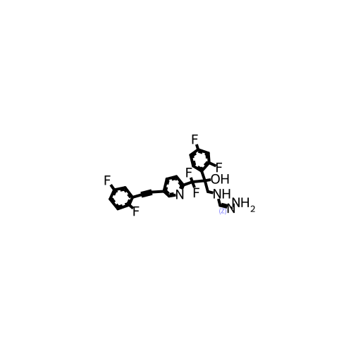 N/N=C\NCC(O)(c1ccc(F)cc1F)C(F)(F)c1ccc(C#Cc2cc(F)ccc2F)cn1